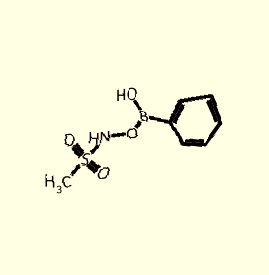 CS(=O)(=O)NOB(O)c1ccccc1